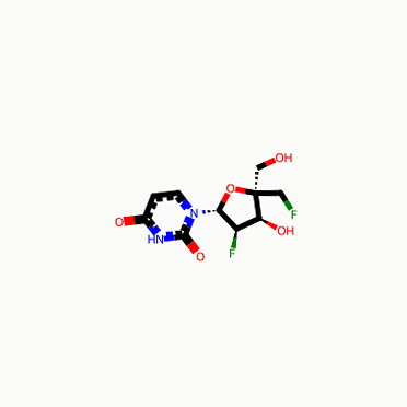 O=c1ccn([C@@H]2O[C@@](CO)(CF)[C@@H](O)[C@H]2F)c(=O)[nH]1